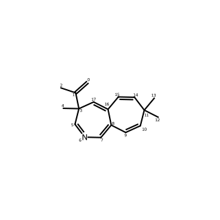 C=C(C)C1(C)C=NC=C2C=CC(C)(C)C=CC2=C1